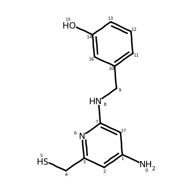 Nc1cc(CS)nc(NCc2cccc(O)c2)c1